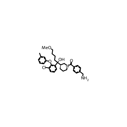 COCCCC[C@@](O)(c1cccc(Cl)c1Oc1cccc(C)c1)[C@@H]1CCCN(C(=O)c2ccc(CN)cc2)C1